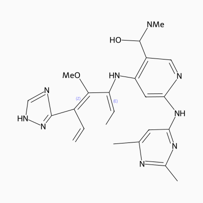 C=C/C(=C(OC)\C(=C/C)Nc1cc(Nc2cc(C)nc(C)n2)ncc1C(O)NC)c1nc[nH]n1